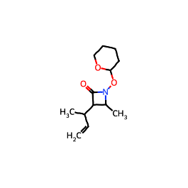 C=CC(C)C1C(=O)N(OC2CCCCO2)C1C